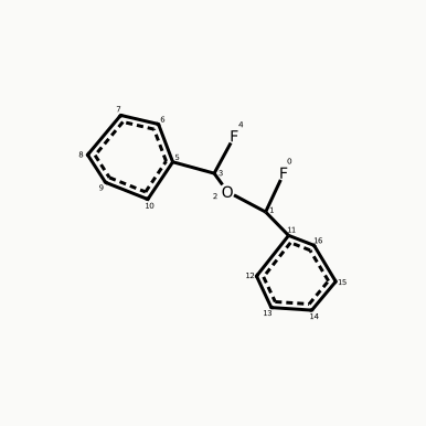 FC(OC(F)c1ccccc1)c1ccccc1